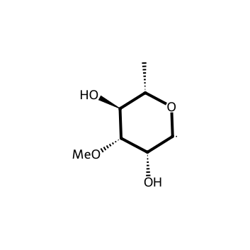 CO[C@@H]1[C@@H](O)[C@H](C)O[CH][C@@H]1O